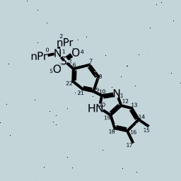 CCCN(CCC)S(=O)(=O)c1ccc(-c2nc3cc(C)c(C)cc3[nH]2)cc1